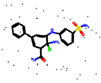 NC(=O)C1C=C(c2ccccc2)C=C(Nc2cccc(S(N)(=O)=O)c2)C1(N)Cl